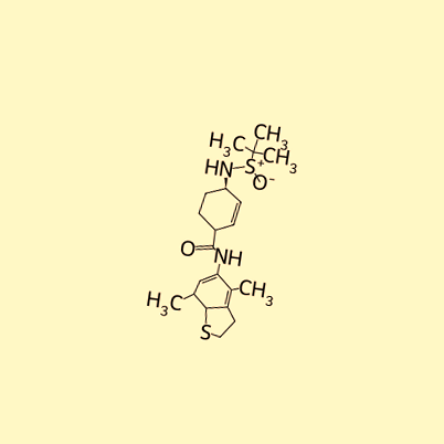 CC1=C2CCSC2C(C)C=C1NC(=O)C1C=C[C@H](N[S+]([O-])C(C)(C)C)CC1